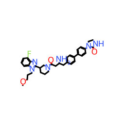 COCCCn1c(C2CCCN(C(=O)CC(N)Cc3ccc(-c4ccc(N5CCNC5=O)cc4)cc3)C2)nc2c(F)cccc21